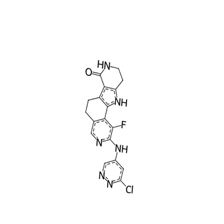 O=C1NCCc2[nH]c3c(c21)CCc1cnc(Nc2cnnc(Cl)c2)c(F)c1-3